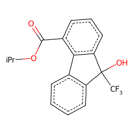 CC(C)OC(=O)c1cccc2c1-c1ccccc1C2(O)C(F)(F)F